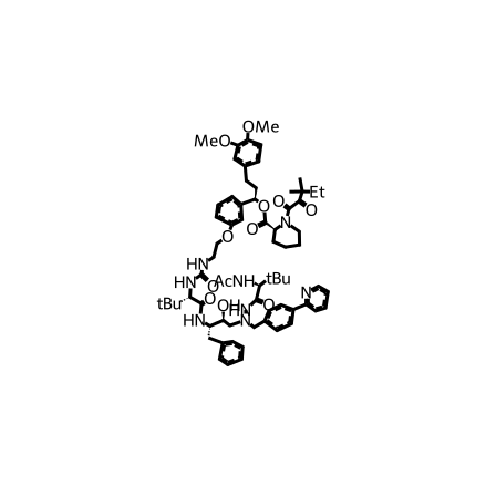 CCC(C)(C)C(=O)C(=O)N1CCCC[C@H]1C(=O)O[C@H](CCc1ccc(OC)c(OC)c1)c1cccc(OCCNC(=O)N[C@H](C(=O)N[C@@H](Cc2ccccc2)[C@@H](O)CN(Cc2ccc(-c3ccccn3)cc2)NC(=O)[C@@H](NC(C)=O)C(C)(C)C)C(C)(C)C)c1